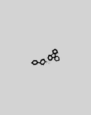 c1ccc(-c2ccc(Nc3ccc4c(c3)C3(CCCCC3)c3ccccc3-4)cc2)cc1